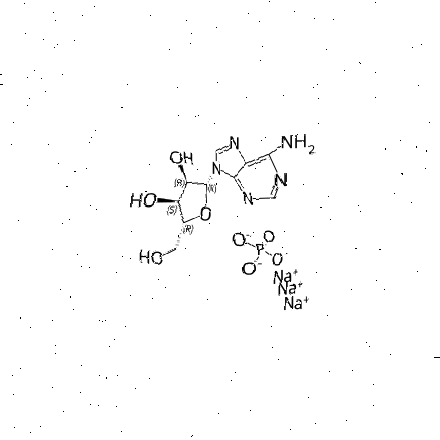 Nc1ncnc2c1ncn2[C@@H]1O[C@H](CO)[C@@H](O)[C@H]1O.O=P([O-])([O-])[O-].[Na+].[Na+].[Na+]